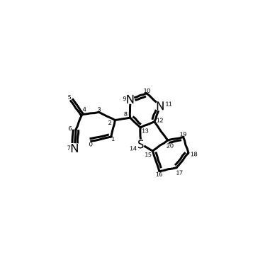 C=CC(CC(=C)C#N)c1ncnc2c1sc1ccccc12